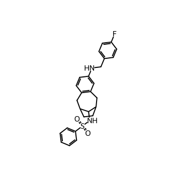 O=S(=O)(NC1C2CCC1Cc1cc(NCc3ccc(F)cc3)ccc1C2)c1ccccc1